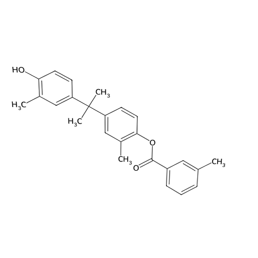 Cc1cccc(C(=O)Oc2ccc(C(C)(C)c3ccc(O)c(C)c3)cc2C)c1